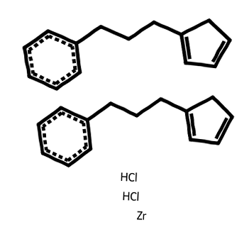 C1=CCC(CCCc2ccccc2)=C1.C1=CCC(CCCc2ccccc2)=C1.Cl.Cl.[Zr]